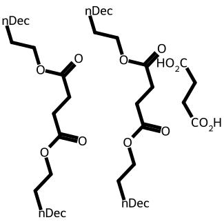 CCCCCCCCCCCCOC(=O)CCC(=O)OCCCCCCCCCCCC.CCCCCCCCCCCCOC(=O)CCC(=O)OCCCCCCCCCCCC.O=C(O)CCC(=O)O